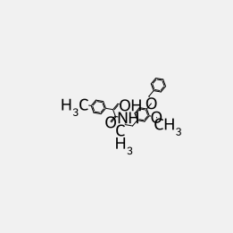 COc1cc(CC(C)NC(=O)C(=CO)c2ccc(C)cc2)ccc1OCc1ccccc1